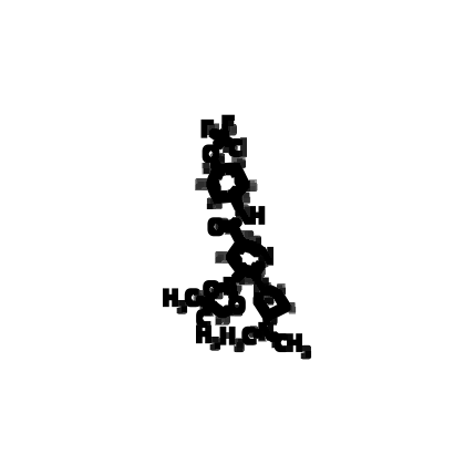 CN(C)[C@@H]1CCN(c2ncc(C(=O)Nc3ccc(OC(F)(F)Cl)cc3)cc2B2OCC(C)(C)O2)C1